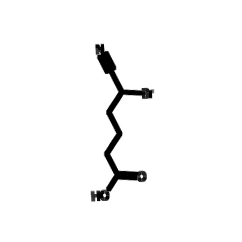 N#CC(Br)CCCC(=O)O